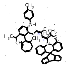 C=C1Sc2cccc3c2N(/C1=C/C(C)=C\Cc1c(Nc2ccc(C)cc2)ccc(C(C)C)c1C1=C(C)CC=CC=C1)c1ccccc1C31C2=C(CCC=C2)c2ccccc21